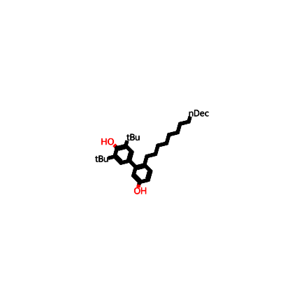 CCCCCCCCCCCCCCCCCCc1ccc(O)cc1-c1cc(C(C)(C)C)c(O)c(C(C)(C)C)c1